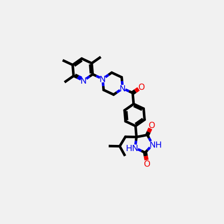 Cc1cc(C)c(N2CCN(C(=O)c3ccc(C4(CC(C)C)NC(=O)NC4=O)cc3)CC2)nc1C